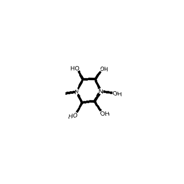 CN1C(O)C(O)N(O)C(O)C1O